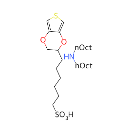 CCCCCCCCNCCCCCCCC.O=S(=O)(O)CCCCCCC1COc2cscc2O1